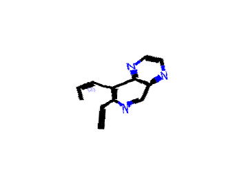 C=Cc1ncc2nccnc2c1/C=C\C